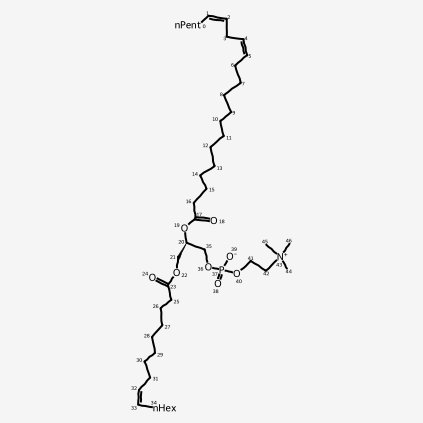 CCCCC/C=C\C/C=C\CCCCCCCCCCCC(=O)O[C@H](COC(=O)CCCCCCC/C=C\CCCCCC)COP(=O)([O-])OCC[N+](C)(C)C